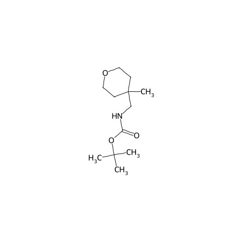 CC1(CNC(=O)OC(C)(C)C)CCOCC1